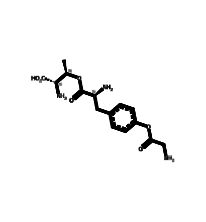 C[C@@H](OC(=O)[C@@H](N)Cc1ccc(OC(=O)CN)cc1)[C@H](N)C(=O)O